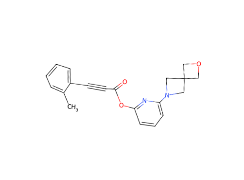 Cc1ccccc1C#CC(=O)Oc1cccc(N2CC3(COC3)C2)n1